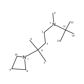 CN(CCC(C)(C)N1CCC1)C(C)(C)C